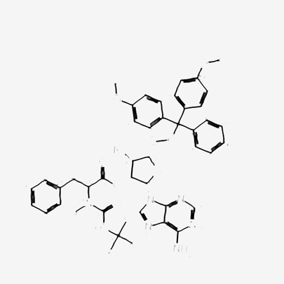 COc1ccc(C(OC[C@@H]2O[C@H](n3cnc4c(N)ncnc43)[C@H](OC(=O)C(Cc3ccccc3)N(C)C(=O)OC(C)(C)C)[C@H]2O)(c2ccccc2)c2ccc(OC)cc2)cc1